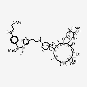 CC[C@H]1OC(=O)[C@H](C)[C@@H](O[C@H]2C[C@@](C)(OC)[C@@H](O)[C@H](C)O2)[C@H](C)[C@@H](O[C@H]2C[C@@H](N(C)CCc3cn([C@H](CF)[C@H](OC)c4ccc([S+]([O-])CCOC)cc4)nn3)C[C@@H](C)O2)[C@](C)(O)C[C@@H](C)CN(C)[C@H](C)[C@@H](O)[C@]1(C)O